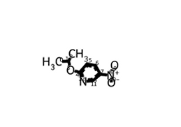 CC(C)Oc1ccc([N+](=O)[O-])[c]n1